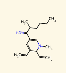 C=CC1=CC(C(=N)C(C)CCCC)=CN(C)C1C=C